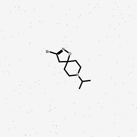 CC(C)N1CCC2(CC1)CC(Br)=NO2